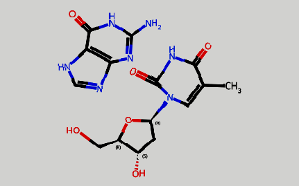 Cc1cn([C@H]2C[C@H](O)[C@@H](CO)O2)c(=O)[nH]c1=O.Nc1nc2nc[nH]c2c(=O)[nH]1